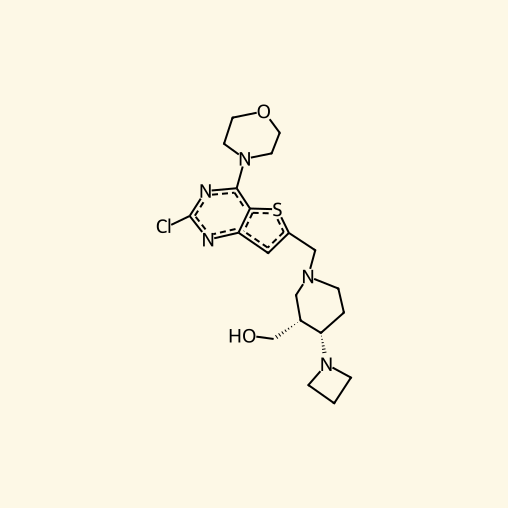 OC[C@@H]1CN(Cc2cc3nc(Cl)nc(N4CCOCC4)c3s2)CC[C@@H]1N1CCC1